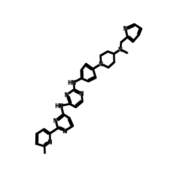 Cc1cccc(-c2nccc(Nc3ccnc(Nc4ccc(N5CCC(N(C)Cc6ccccn6)CC5)cc4)n3)n2)n1